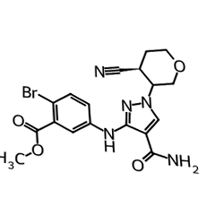 COC(=O)c1cc(Nc2nn(C3COCC[C@@H]3C#N)cc2C(N)=O)ccc1Br